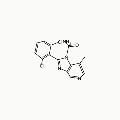 Cc1cn[c]c2nc(-c3c(Cl)cccc3Cl)n(C(N)=O)c12